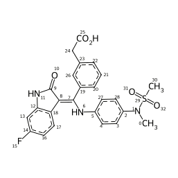 CN(c1ccc(NC(=C2C(=O)Nc3cc(F)ccc32)c2cccc(CC(=O)O)c2)cc1)S(C)(=O)=O